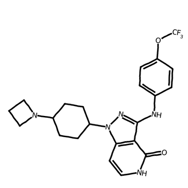 O=c1[nH]ccc2c1c(Nc1ccc(OC(F)(F)F)cc1)nn2C1CCC(N2CCC2)CC1